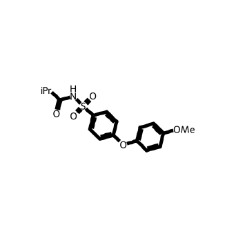 COc1ccc(Oc2ccc(S(=O)(=O)NC(=O)C(C)C)cc2)cc1